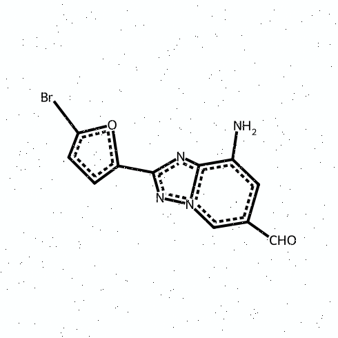 Nc1cc(C=O)cn2nc(-c3ccc(Br)o3)nc12